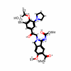 CCOc1cc2c(cc1C(=O)NC)/C(=N/C(=O)OC)N(CC(=O)c1cc(N3CCCC3)c(OC(CC)C(=O)O)c(C(C)(C)C)c1)C2